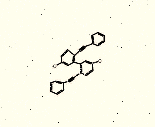 [O]c1ccc(C#Cc2ccccc2)c(-c2cc([O])ccc2C#Cc2ccccc2)c1